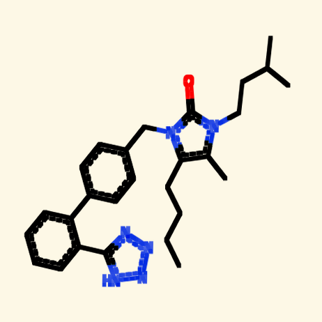 CCCCc1c(C)n(CCC(C)C)c(=O)n1Cc1ccc(-c2ccccc2-c2nnn[nH]2)cc1